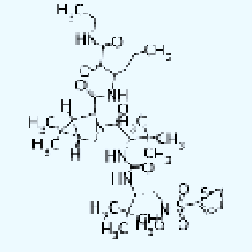 CCCC(NC(=O)[C@@H]1[C@@H]2[C@H](CN1C(=O)[C@@H](NC(=O)N[C@H](CN(C)S(=O)(=O)c1cccs1)C(C)(C)C)C(C)(C)C)C2(C)C)C(=O)C(=O)NCC